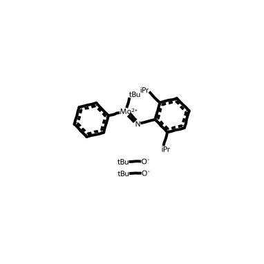 CC(C)(C)[O-].CC(C)(C)[O-].CC(C)c1cccc(C(C)C)c1[N]=[Mo+2]([c]1ccccc1)[C](C)(C)C